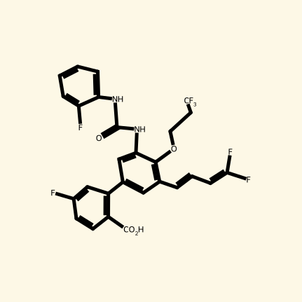 O=C(Nc1ccccc1F)Nc1cc(-c2cc(F)ccc2C(=O)O)cc(/C=C/C=C(F)F)c1OCCC(F)(F)F